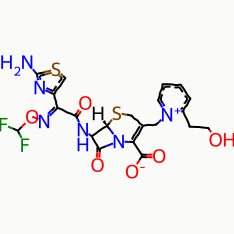 Nc1nc(C(=NOC(F)F)C(=O)NC2C(=O)N3C(C(=O)[O-])=C(C[n+]4ccccc4CCO)CS[C@@H]23)cs1